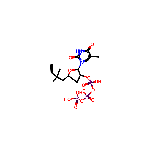 C=CC(C)(C)C[C@@H]1CC(OP(=O)(O)OP(=O)(O)OP(=O)(O)O)[C@H](n2cc(C)c(=O)[nH]c2=O)O1